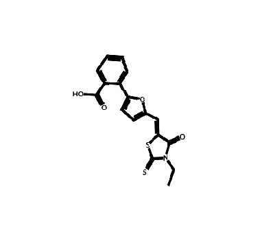 CCN1C(=O)C(=Cc2ccc(-c3ccccc3C(=O)O)o2)SC1=S